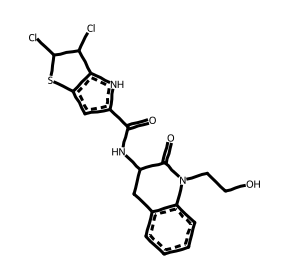 O=C(NC1Cc2ccccc2N(CCO)C1=O)c1cc2c([nH]1)C(Cl)C(Cl)S2